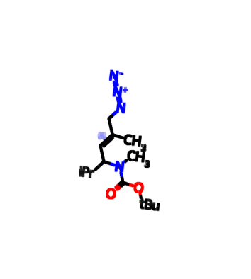 C/C(=C\C(C(C)C)N(C)C(=O)OC(C)(C)C)CN=[N+]=[N-]